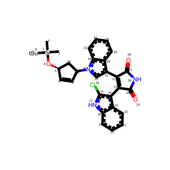 CC(C)(C)[Si](C)(C)O[C@@H]1C=CC(n2cc(C3=C(c4c(Cl)[nH]c5ccccc45)C(=O)NC3=O)c3ccccc32)C1